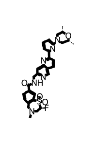 C[C@@H]1CN(c2cccc(-c3ccc4cnc(CNC(=O)c5ccc6c(c5)S(=O)(=O)[C@@H](F)CN(C)C6)cc4n3)n2)C[C@H](C)O1